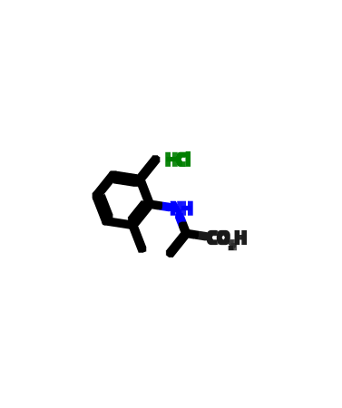 Cc1cccc(C)c1NC(C)C(=O)O.Cl